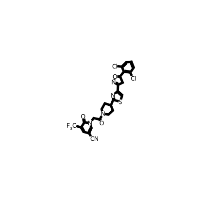 N#Cc1cc(C(F)(F)F)c(=O)n(CC(=O)N2CCC(c3nc(C4=NOC(c5c(Cl)cccc5Cl)C4)cs3)CC2)c1